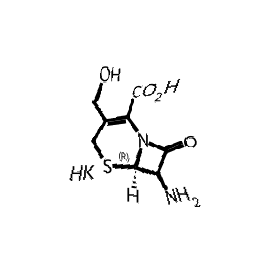 NC1C(=O)N2C(C(=O)O)=C(CO)CS[C@H]12.[KH]